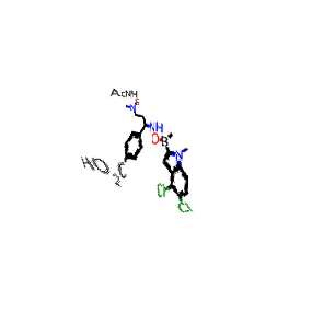 CB(ONC(CCN(C)SNC(C)=O)c1ccc(C(=O)O)cc1)c1cc2c(Cl)c(Cl)ccc2n1C